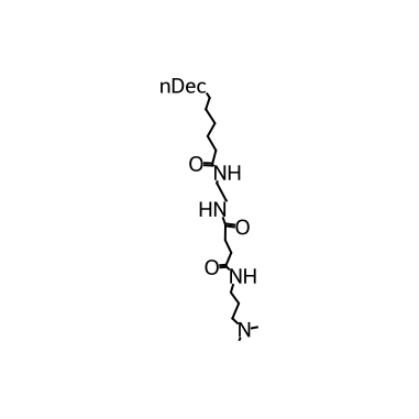 CCCCCCCCCCCCCCCC(=O)NCCNC(=O)CCC(=O)NCCCN(C)C